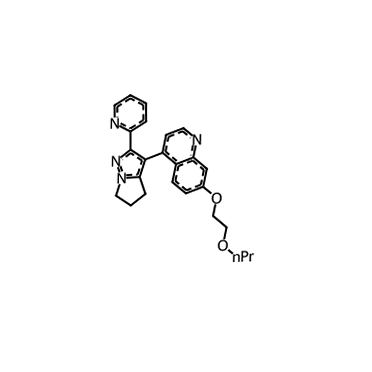 CCCOCCOc1ccc2c(-c3c(-c4ccccn4)nn4c3CCC4)ccnc2c1